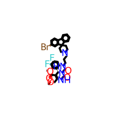 COCC1=C(C(=O)OC)[C@H](c2ccc(F)c(F)c2)N(C(=O)NCCCN2CCC3(CC2)c2ccccc2-c2ccc(Br)cc23)C(=O)N1